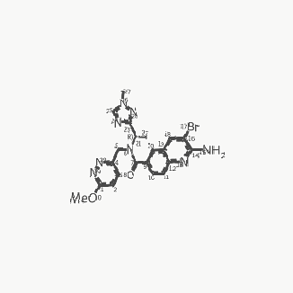 COc1ccc(CN(C(=O)c2ccc3nc(N)c(Br)cc3c2)[C@H](C)c2ncn(C)n2)nn1